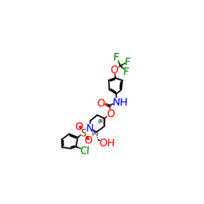 O=C(Nc1ccc(OC(F)(F)F)cc1)O[C@@H]1CCN(S(=O)(=O)c2ccccc2Cl)[C@@H](CO)C1